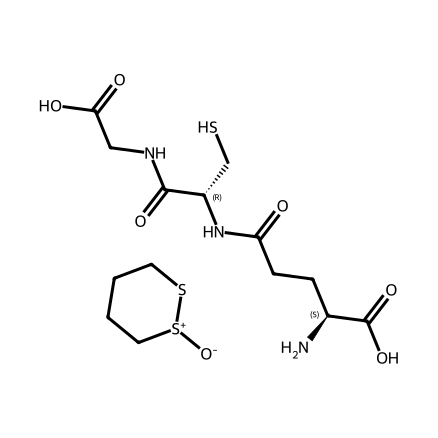 N[C@@H](CCC(=O)N[C@@H](CS)C(=O)NCC(=O)O)C(=O)O.[O-][S+]1CCCCS1